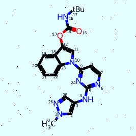 Cn1cc(Nc2nccc(-n3cc(OC(=O)NC(C)(C)C)c4ccccc43)n2)cn1